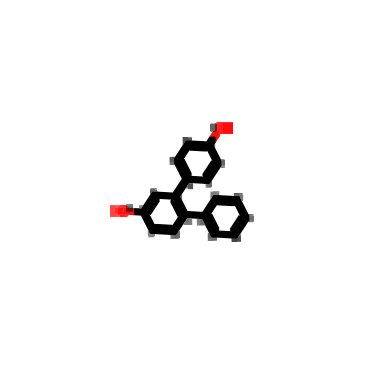 Oc1ccc(-c2cc(O)ccc2-c2ccccc2)cc1